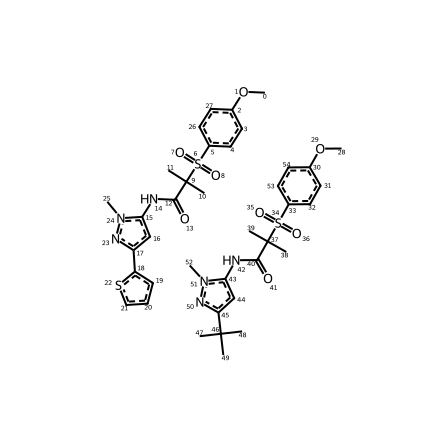 COc1ccc(S(=O)(=O)C(C)(C)C(=O)Nc2cc(-c3cccs3)nn2C)cc1.COc1ccc(S(=O)(=O)C(C)(C)C(=O)Nc2cc(C(C)(C)C)nn2C)cc1